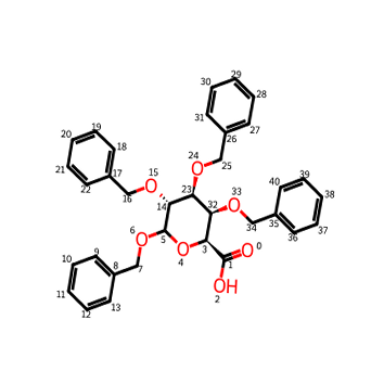 O=C(O)[C@H]1OC(OCc2ccccc2)[C@H](OCc2ccccc2)[C@@H](OCc2ccccc2)[C@H]1OCc1ccccc1